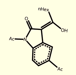 CCCCCCC(O)=C1C(=O)N(C(C)=O)c2ccc(C(C)=O)cc21